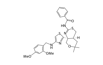 COc1ccc(CNc2csc([C@@]34COC(C)(C)C[C@@H]3CSC(NC(=O)c3ccccc3)=N4)n2)c(OC)c1